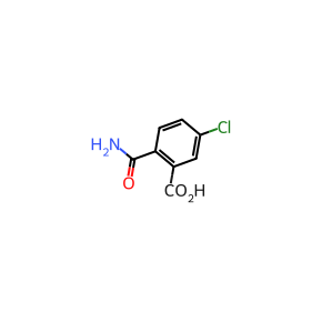 NC(=O)c1ccc(Cl)cc1C(=O)O